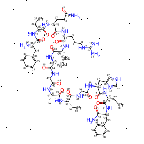 CC[C@H](C)[C@H](NC(=O)[C@H](CCCNC(=N)N)NC(=O)[C@H](CCC(N)=O)NC(=O)[C@H](CC(C)C)NC(=O)[C@@H](N)Cc1ccccc1)C(=O)N[C@H](C(=O)NCC(=O)N[C@@H](C)C(=O)N[C@@H](CC(C)C)C(=O)NCC(=O)N[C@@H](Cc1c[nH]cn1)C(=O)N[C@@H](CC(C)C)C(=O)N[C@@H](Cc1ccccc1)C(N)=O)[C@@H](C)CC